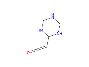 O=C=CC1NCNCN1